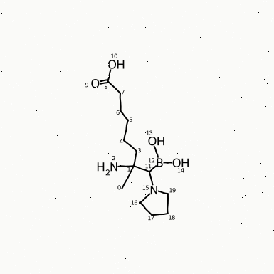 CC(N)(CCCCCC(=O)O)C(B(O)O)N1CCCC1